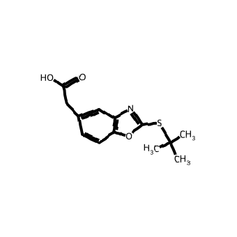 CC(C)(C)Sc1nc2cc(CC(=O)O)ccc2o1